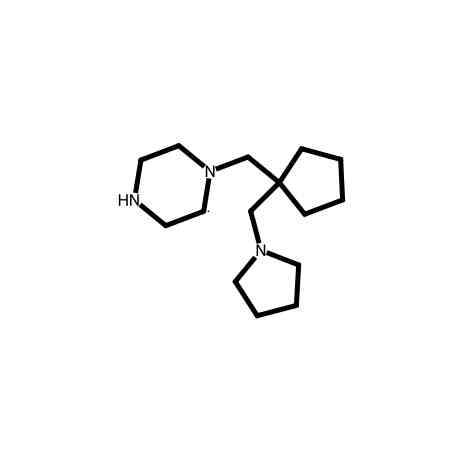 [CH]1CNCCN1CC1(CN2CCCC2)CCCC1